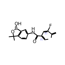 C=C(C)/C(F)=C\C(=C/C)C(=O)Nc1ccc2c(c1)B(O)OC2(C)C